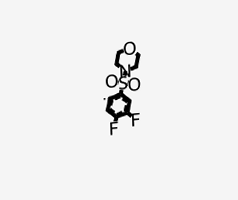 O=S(=O)(c1[c]cc(F)c(F)c1)N1CCOCC1